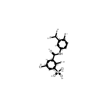 O=C(Nc1ccc(F)c(C(F)F)c1)c1cc(Cl)cc(S(=O)(=O)Cl)c1F